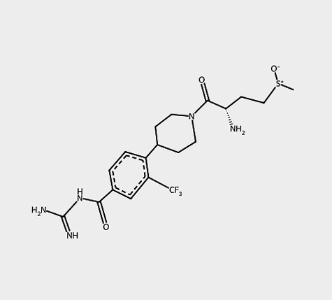 C[S+]([O-])CC[C@H](N)C(=O)N1CCC(c2ccc(C(=O)NC(=N)N)cc2C(F)(F)F)CC1